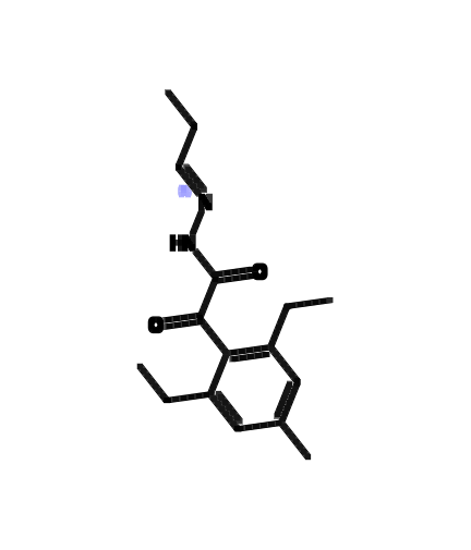 CC/C=N/NC(=O)C(=O)c1c(CC)cc(C)cc1CC